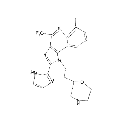 Cc1cccc2c1nc(C(F)(F)F)c1nc(-c3ncc[nH]3)n(CCC3CNCCO3)c12